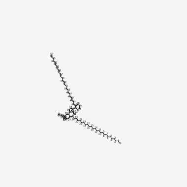 CCCCCCCCCCCCCCCCCCCCCCC=CCCc1ccccc1C1=CC=C(c2ccccc2CCC=CCCCCCCCCCCCCCCCCCCCCCC)[N+]1=[N-].[Br][Ni][Br]